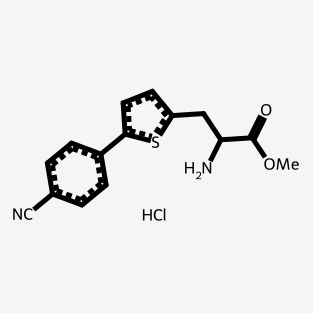 COC(=O)C(N)Cc1ccc(-c2ccc(C#N)cc2)s1.Cl